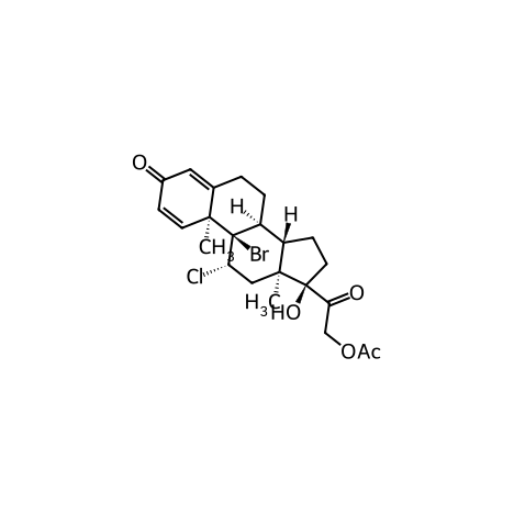 CC(=O)OCC(=O)[C@@]1(O)CC[C@H]2[C@@H]3CCC4=CC(=O)C=C[C@]4(C)[C@@]3(Br)[C@@H](Cl)C[C@@]21C